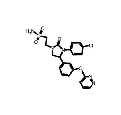 NS(=O)(=O)CCN1CC(c2cccc(Oc3cccnn3)c2)N(c2ccc(Cl)cc2)C1=O